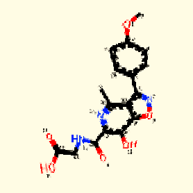 COc1ccc(-c2noc3c(O)c(C(=O)NCC(=O)O)nc(C)c23)cc1